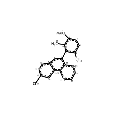 COc1ccc(C)c(-c2cc3cnc(Cl)cc3c3nccnc23)c1C